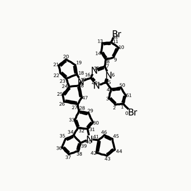 Brc1ccc(-c2nc(-c3ccc(Br)cc3)nc(-n3c4ccccc4c4ccc(-c5ccc6c(c5)c5ccccc5n6-c5ccccc5)cc43)n2)cc1